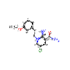 COc1cccc(CCn2cc(Cl)cc(C(N)=O)c2=N)c1